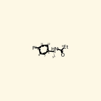 CCC(=O)N[C@H](C)c1ccc(F)cc1